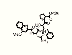 COc1cc(C(=O)N[C@@H](CC(N)=O)C(=O)N[C@@H](Cc2ccccc2)C(O)C(=O)N2CCC[C@H]2C(=O)OC(C)(C)C)nc2ccccc12